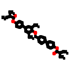 C=C(C)C(=O)Oc1ccc(-c2ccc(COc3c(C)cc(-c4ccc(OC(=O)C(=C)C)cc4)cc3C)cc2)cc1